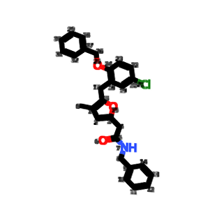 Cc1cc(CC(=O)NCc2ccccc2)oc1Cc1cc(Cl)ccc1OCc1ccccc1